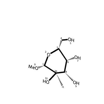 CO[C@@H]1O[C@H](CO)[C@H](O)[C@H](O)[C@@]1(C)O